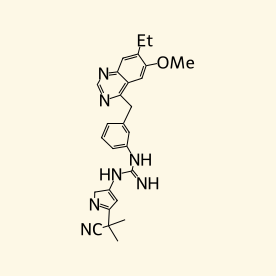 CCc1cc2ncnc(Cc3cccc(NC(=N)NC4=CC(C(C)(C)C#N)=NC4)c3)c2cc1OC